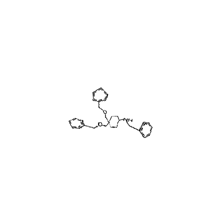 c1ccc(CNC2CCC(COCc3ccccc3)(COCc3ccccc3)CC2)cc1